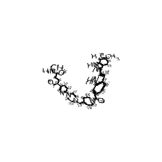 CNC(=O)CCC(C=O)c1ccc(N2CCN(CC3CCN(C(=O)c4ccc5cc(-c6n[nH]c7c6CCC(C)(C)C7)[nH]c5c4)CC3)CC2)nc1